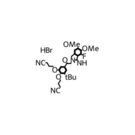 Br.COc1cc2c(c(F)c1OC)C(=N)N(CC(=O)c1cc(OCCCC#N)c(OCCCC#N)c(C(C)(C)C)c1)C2